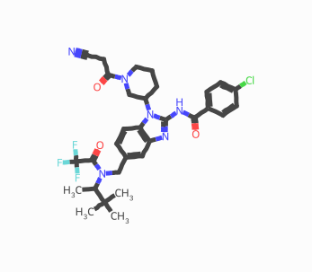 CC(N(Cc1ccc2c(c1)nc(NC(=O)c1ccc(Cl)cc1)n2C1CCCN(C(=O)CC#N)C1)C(=O)C(F)(F)F)C(C)(C)C